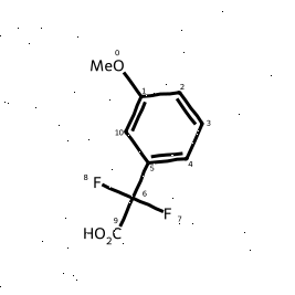 COc1cccc(C(F)(F)C(=O)O)c1